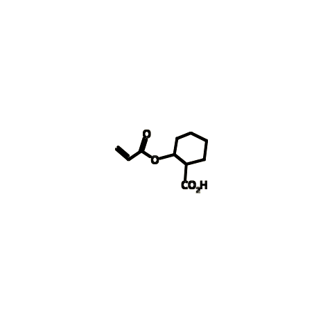 C=CC(=O)OC1CCCCC1C(=O)O